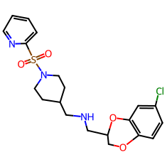 O=S(=O)(c1ccccn1)N1CCC(CNCC2COc3ccc(Cl)cc3O2)CC1